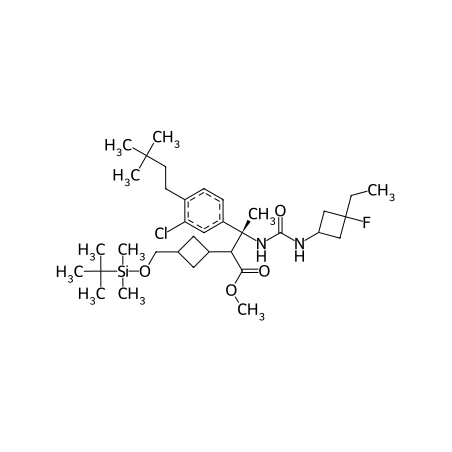 CCC1(F)CC(NC(=O)N[C@@](C)(c2ccc(CCC(C)(C)C)c(Cl)c2)C(C(=O)OC)C2CC(CO[Si](C)(C)C(C)(C)C)C2)C1